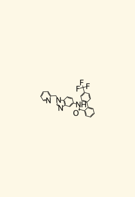 O=C(Nc1ccc2c(c1)ncn2Cc1ccccn1)c1ccccc1-c1ccc(C(F)(F)F)cc1